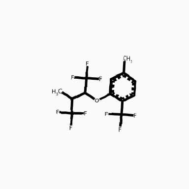 Cc1ccc(C(F)(F)F)c(OC(C(C)C(F)(F)F)C(F)(F)F)c1